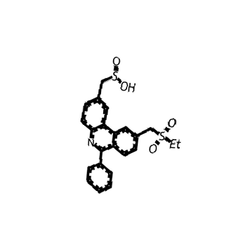 CCS(=O)(=O)Cc1ccc2c(-c3ccccc3)nc3ccc(CS(=O)O)cc3c2c1